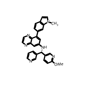 COc1ccc([C@@H](Nc2cc(-c3ccc4ccn(C)c4c3)c3nccnc3c2)c2cccnc2)cn1